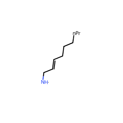 CCCCCCC=CC[NH]